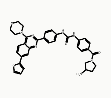 NC1CCN(C(=O)c2ccc(NC(=O)Nc3ccc(-c4nc(N5CCOCC5)c5ccc(-c6ccco6)cc5n4)cc3)cc2)C1